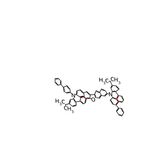 CC(C)c1ccc(-c2ccccc2)c(N(c2ccc(-c3ccccc3)cc2)c2ccc3cc4c(cc3c2)oc2cc3cc(N(c5ccc(-c6ccccc6)cc5)c5cc(C(C)C)ccc5-c5ccccc5)ccc3cc24)c1